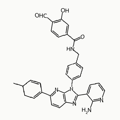 CC1C=CC(c2ccc3nc(-c4cccnc4N)n(-c4ccc(CNC(=O)c5ccc(C=O)c(O)c5)cc4)c3n2)=CC1